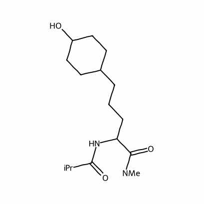 CNC(=O)C(CCCC1CCC(O)CC1)NC(=O)C(C)C